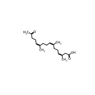 CC(=O)CCC=C(C)CCC=C(C)CCC=C(C)CC(=O)O